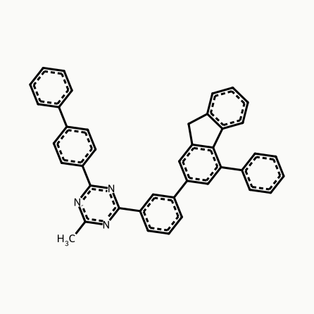 Cc1nc(-c2ccc(-c3ccccc3)cc2)nc(-c2cccc(-c3cc4c(c(-c5ccccc5)c3)-c3ccccc3C4)c2)n1